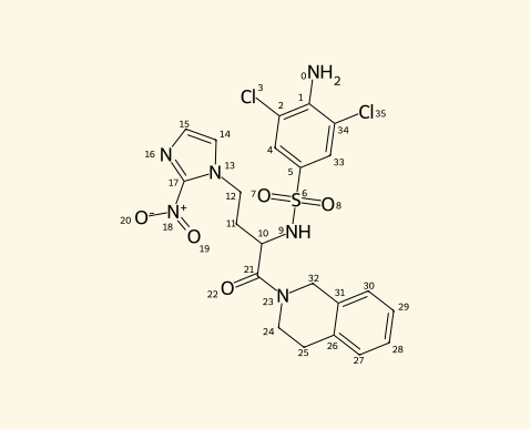 Nc1c(Cl)cc(S(=O)(=O)NC(CCn2ccnc2[N+](=O)[O-])C(=O)N2CCc3ccccc3C2)cc1Cl